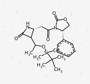 CC(O[Si](C)(C)C(C)(C)C)C1C(=O)N[C@@H]1CC(=O)N1C(=O)OC[C@@H]1c1ccccc1